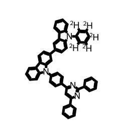 [2H]c1c([2H])c([2H])c(-n2c3ccccc3c3cc(-c4ccc5c6ccccc6n(-c6ccc(-c7cc(-c8ccccc8)nc(-c8ccccc8)n7)cc6)c5c4)ccc32)c([2H])c1[2H]